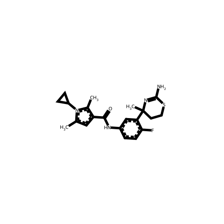 Cc1cc(C(=O)Nc2ccc(F)c(C3(C)CCSC(N)=N3)c2)c(C)n1C1CC1